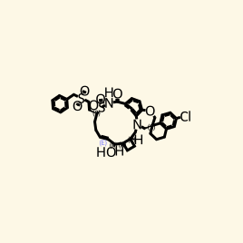 O=C1NS(=O)(=O)[C@H](CCS(=O)(=O)Cc2ccccc2)CC/C=C/[C@H](O)[C@@H]2CC[C@H]2CN2C[C@@]3(CCCc4cc(Cl)ccc43)COc3ccc1cc32